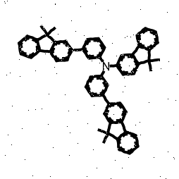 CC1(C)c2ccccc2-c2cc(N(c3cccc(-c4ccc5c(c4)C(C)(C)c4ccccc4-5)c3)c3cccc(-c4ccc5c(c4)C(C)(C)c4ccccc4-5)c3)ccc21